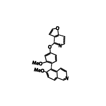 COc1cc(Oc2nccc3occc23)ccc1-c1c(OC)ccc2cnccc12